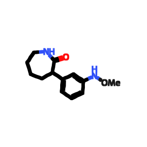 CONc1cccc(C2CCCCNC2=O)c1